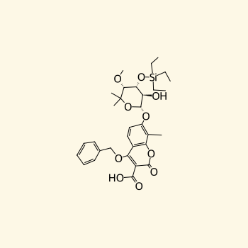 CC[Si](CC)(CC)O[C@@H]1[C@@H](O)[C@H](Oc2ccc3c(OCc4ccccc4)c(C(=O)O)c(=O)oc3c2C)OC(C)(C)[C@@H]1OC